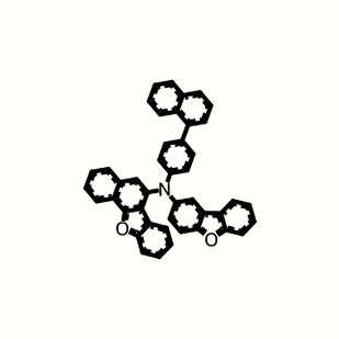 c1ccc2c(-c3ccc(N(c4ccc5oc6ccccc6c5c4)c4cc5ccccc5c5oc6ccccc6c45)cc3)cccc2c1